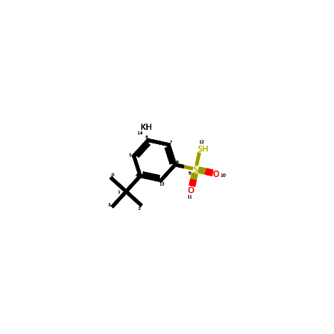 CC(C)(C)c1cccc(S(=O)(=O)S)c1.[KH]